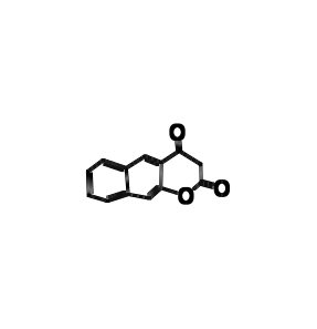 O=C1CC(=O)c2cc3ccccc3cc2O1